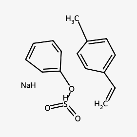 C=Cc1ccc(C)cc1.O=[SH](=O)Oc1ccccc1.[NaH]